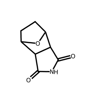 O=C1NC(=O)C2C3CCC(O3)C12